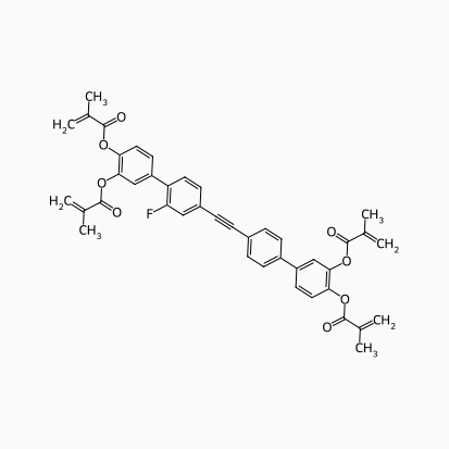 C=C(C)C(=O)Oc1ccc(-c2ccc(C#Cc3ccc(-c4ccc(OC(=O)C(=C)C)c(OC(=O)C(=C)C)c4)c(F)c3)cc2)cc1OC(=O)C(=C)C